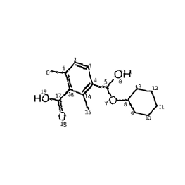 Cc1ccc(C(O)OC2CCCCC2)c(C)c1C(=O)O